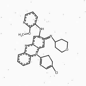 COc1ncccc1Nc1cc2nc3ccccc3n(C3=CC=C(Cl)CC3)c-2c/c1=N\C1CCOCC1